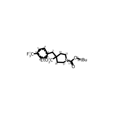 CCOC(=O)C1(Cc2ccc(C(F)(F)F)cc2)CCN(C(=O)OC(C)(C)C)CC1